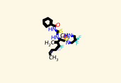 C=C(/C(F)=C\C=C/C)[C@](C)(CS1(=O)=NCC(F)(F)CN1)NC(=S)NC(=O)c1ccccc1